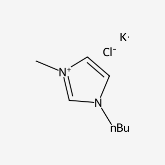 CCCCn1cc[n+](C)c1.[Cl-].[K]